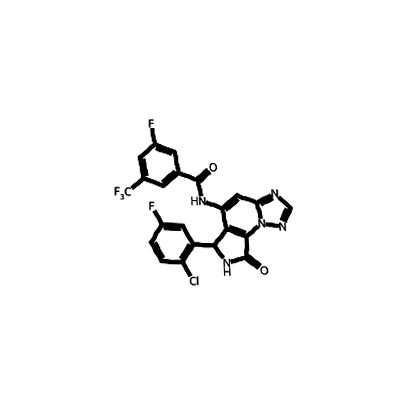 O=C(Nc1cc2ncnn2c2c1C(c1cc(F)ccc1Cl)NC2=O)c1cc(F)cc(C(F)(F)F)c1